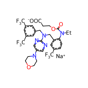 CCN(C(=O)OCCC(=O)[O-])c1ccc(C(F)(F)F)cc1CN(Cc1cc(C(F)(F)F)cc(C(F)(F)F)c1)c1ncc(N2CCOCC2)cn1.[Na+]